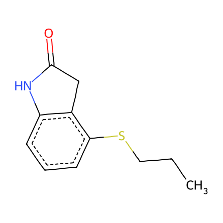 CCCSc1cccc2c1CC(=O)N2